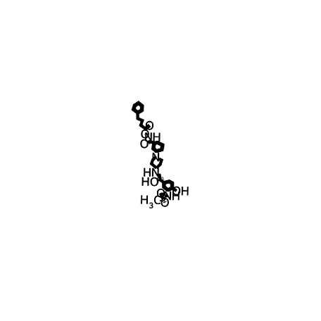 CS(=O)(=O)Nc1cc([C@@H](O)CNC2CCN(c3cccc(C(=O)NOC(=O)CCCc4ccccc4)c3)CC2)ccc1O